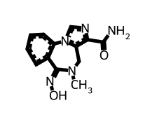 CN1Cc2c(C(N)=O)ncn2-c2ccccc2C1=NO